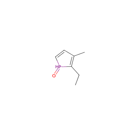 CCC1=C(C)C=C[PH]1=O